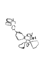 COc1ccc(-c2ccc(C3=C(O)C4(CCCCC4)OC3=O)c(C)c2)cc1